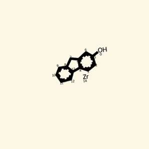 Oc1ccc2c(c1)Cc1ccccc1-2.[Zr]